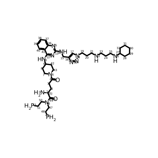 N[C@@H](CCC(=O)N1CCC(Nc2nc(NCc3cn(CCCNCCCNC4CCCCC4)nn3)nc3ccccc23)CC1)C(=O)N(CCP)CCP